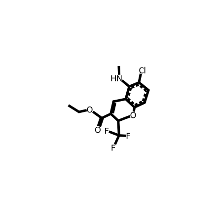 CCOC(=O)C1=Cc2c(ccc(Cl)c2NC)OC1C(F)(F)F